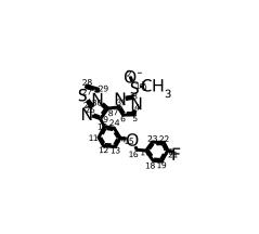 C[S+]([O-])c1nccc(-c2c(-c3cccc(OCc4ccc(F)cc4)c3)nc3sccn23)n1